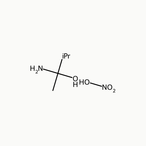 CC(C)C(C)(N)O.O=[N+]([O-])O